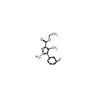 CCOC(=O)c1nn(C)c(-c2cccc(F)c2)c1C